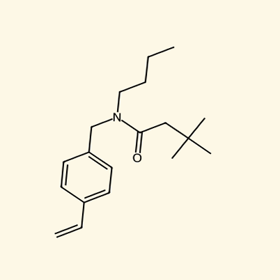 C=Cc1ccc(CN(CCCC)C(=O)CC(C)(C)C)cc1